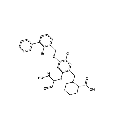 O=CC(NO)Oc1cc(OCc2cccc(-c3ccccc3)c2Br)c(Cl)cc1CN1CCCC[C@H]1C(=O)O